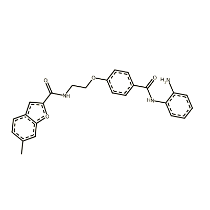 Cc1ccc2cc(C(=O)NCCOc3ccc(C(=O)Nc4ccccc4N)cc3)oc2c1